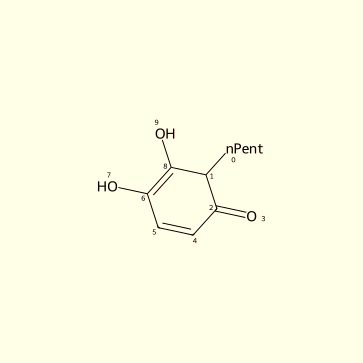 CCCCCC1C(=O)C=CC(O)=C1O